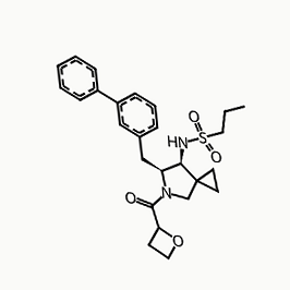 CCCS(=O)(=O)N[C@@H]1[C@H](Cc2cccc(-c3ccccc3)c2)N(C(=O)C2CCO2)CC12CC2